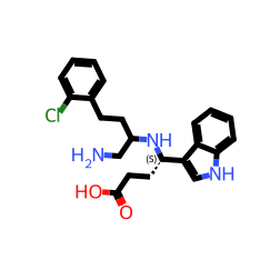 NCC(CCc1ccccc1Cl)N[C@@H](CCC(=O)O)c1c[nH]c2ccccc12